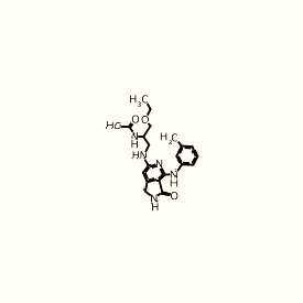 CCOCC(CNc1cc2c(c(Nc3cccc(C)c3)n1)C(=O)NC2)NC(=O)O